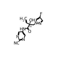 C=C[C@](O)(Cn1cc(F)cn1)C(=O)Nc1cnc(C#N)nc1